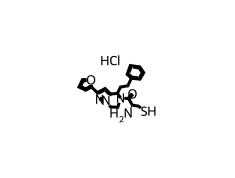 Cl.N[C@@H](CS)C(=O)N1CCn2nc(-c3ccco3)cc2C1CCc1ccccc1